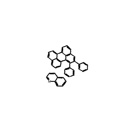 c1ccc(-c2cc3cccc4c5cccc6cccc(c(c2-c2ccccc2)c34)c65)cc1.c1ccc2ncccc2c1